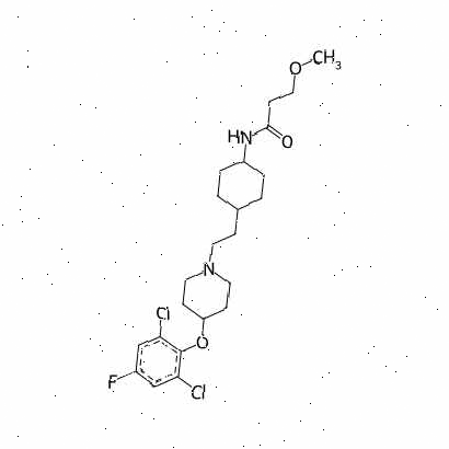 COCCC(=O)NC1CCC(CCN2CCC(Oc3c(Cl)cc(F)cc3Cl)CC2)CC1